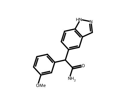 COc1cccc(C(C(N)=O)c2ccc3[nH]ncc3c2)c1